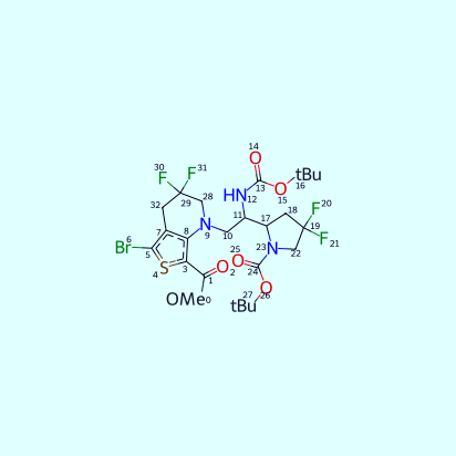 COC(=O)c1sc(Br)c2c1N(CC(NC(=O)OC(C)(C)C)C1CC(F)(F)CN1C(=O)OC(C)(C)C)CC(F)(F)C2